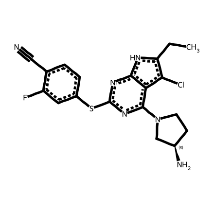 CCc1[nH]c2nc(Sc3ccc(C#N)c(F)c3)nc(N3CC[C@@H](N)C3)c2c1Cl